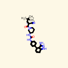 CC(C)(C)/C=C(\C#N)C(=O)N1CCCC(NC(=O)Nc2ccc(-c3cccc4[nH]nc(N)c34)cc2)C1